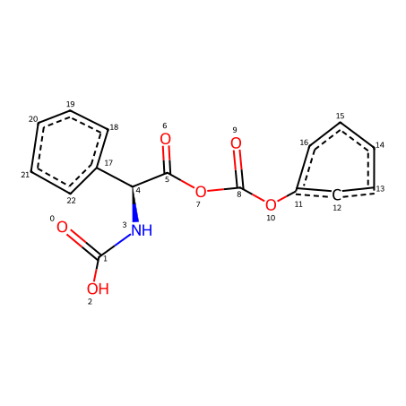 O=C(O)N[C@H](C(=O)OC(=O)Oc1ccccc1)c1ccccc1